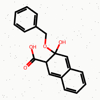 O=C(O)C1C=c2ccccc2=CC1(O)OCc1ccccc1